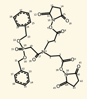 O=C(CCN(CCC(=O)ON1C(=O)CCC1=O)C(=O)CP(=O)(OCc1ccccc1)OCc1ccccc1)ON1C(=O)CCC1=O